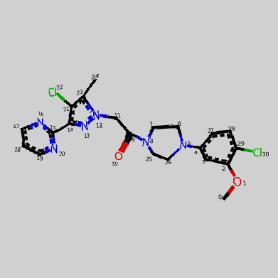 COc1cc(N2CCN(C(=O)Cn3nc(-c4ncccn4)c(Cl)c3C)CC2)ccc1Cl